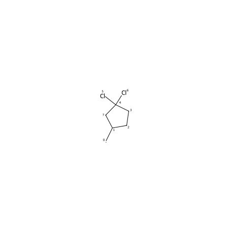 [CH2]C1CCC(Cl)(Cl)C1